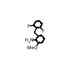 COc1cccc(Cc2c(F)cccc2F)c1N